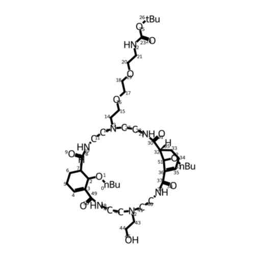 CCCCOC1C2=CCC[C@@H]1C(=O)NCCN(CCOCCOCCNC(=O)OC(C)(C)C)CCNC(=O)[C@@H]1CCC=C(C(=O)NCCN(CCO)CCNC2=O)C1OCCCC